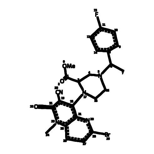 COC(=O)C1CN(C(C)c2ccc(F)cc2)CCN1c1c(C#N)c(=O)n(C)c2ccc(Br)nc12